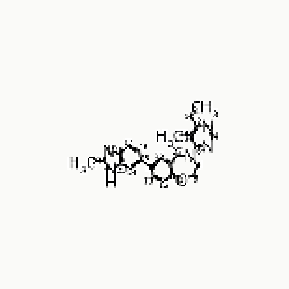 CCc1ncnc(N2CCOc3ccc(-c4ccc5nc(C)[nH]c5c4)cc3C2)c1C